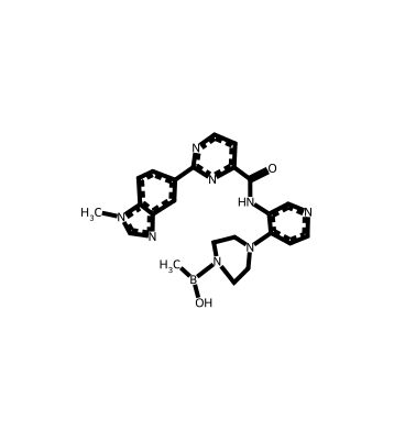 CB(O)N1CCN(c2ccncc2NC(=O)c2ccnc(-c3ccc4c(c3)ncn4C)n2)CC1